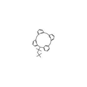 CC(C)(C)CC(C)(C)C1c2cccc(c2)Cc2cccc(c2)Cc2cccc(c2)Cc2cccc1c2